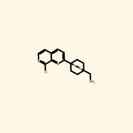 NCC12CCC(c3ccc4ccnc(Cl)c4n3)(CC1)CC2